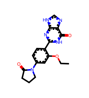 CCOc1cc(N2CCCC2=O)ccc1-c1nc2[nH]cnc2c(=O)[nH]1